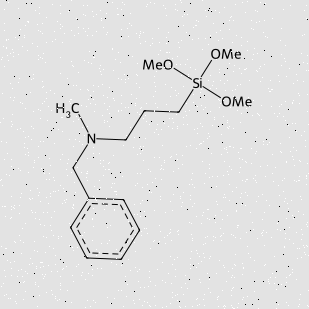 CO[Si](CCCN(C)Cc1ccccc1)(OC)OC